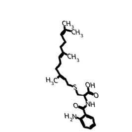 CC(C)=CCC/C(C)=C/CC/C(C)=C/CSC[C@H](NC(=O)c1ccccc1N)C(=O)O